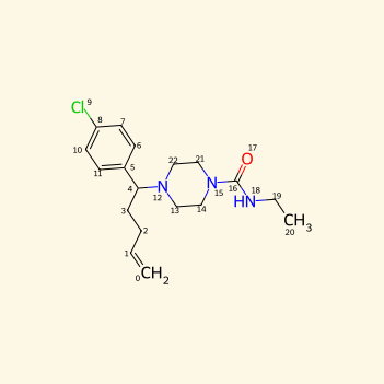 C=CCCC(c1ccc(Cl)cc1)N1CCN(C(=O)NCC)CC1